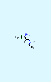 C=CN(C/C(CC)=C(\N)C(C)(F)F)C(C)C